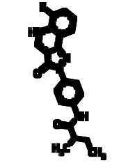 CCC(C)C(=O)Nc1ccc(-n2nc3c4cccc(F)c4[nH]cc-3c2=O)cc1